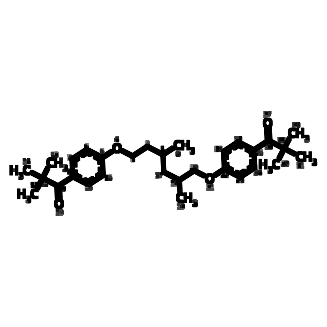 CC(CCOc1ccc(C(=O)C(C)(C)C)cc1)CC(C)COc1ccc(C(=O)C(C)(C)C)cc1